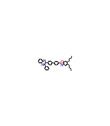 CCCCc1cc2nc(-c3ccc(-c4ccc(-c5nc6ccccc6nc5-c5ccccc5)cc4)cc3)oc2cc1CCCC